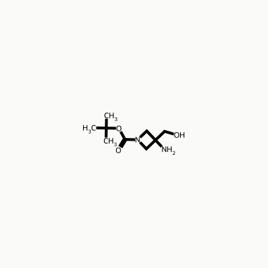 CC(C)(C)OC(=O)N1CC(N)(CO)C1